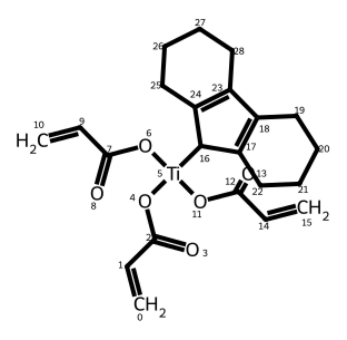 C=CC(=O)[O][Ti]([O]C(=O)C=C)([O]C(=O)C=C)[CH]1C2=C(CCCC2)C2=C1CCCC2